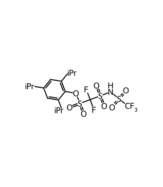 CC(C)c1cc(C(C)C)c(OS(=O)(=O)C(F)(F)S(=O)(=O)NS(=O)(=O)C(F)(F)F)c(C(C)C)c1